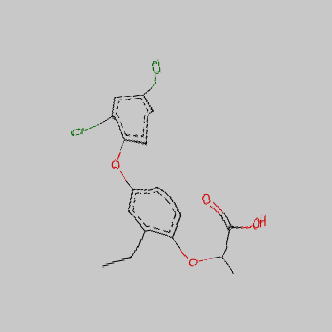 CCc1cc(Oc2ccc(Cl)cc2Cl)ccc1OC(C)C(=O)O